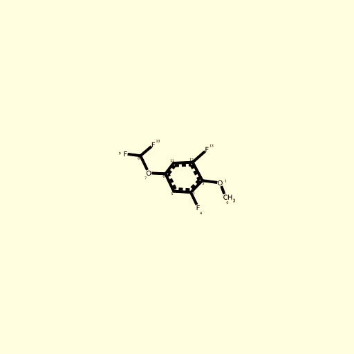 COc1c(F)cc(OC(F)F)cc1F